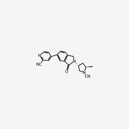 C[C@@H]1C[C@@H](N2Cc3ccc(-c4ccnc(C#N)c4)cc3C2=O)CN1C#N